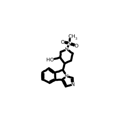 CS(=O)(=O)N1CCC(C2c3ccccc3-c3cncn32)C(O)C1